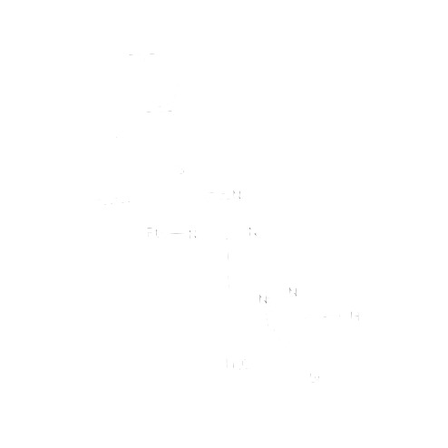 CCn1c(Cn2nc(C)c(Br)c2C)nnc1SCc1ccccc1-c1ccccc1